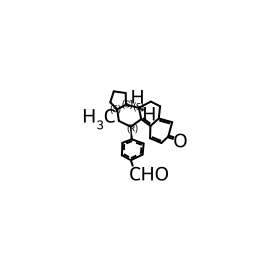 C[C@@]12CCC[C@H]1[C@@H]1CCC3=CC(=O)C=CC3=C1[C@@H](c1ccc(C=O)cc1)C2